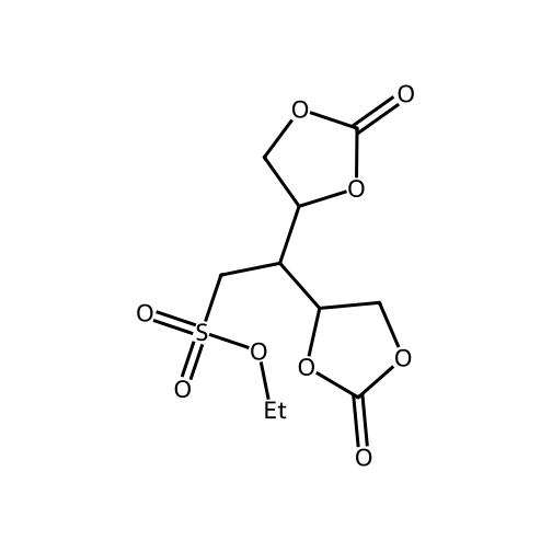 CCOS(=O)(=O)CC(C1COC(=O)O1)C1COC(=O)O1